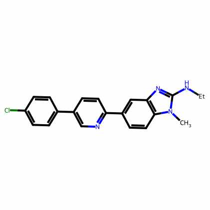 CCNc1nc2cc(-c3ccc(-c4ccc(Cl)cc4)cn3)ccc2n1C